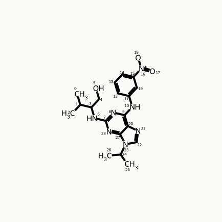 CC(C)C(CO)Nc1nc(Nc2cccc([N+](=O)[O-])c2)c2ncn(C(C)C)c2n1